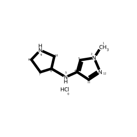 Cl.Cn1cc(NC2CCNC2)cn1